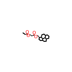 C=CC(=O)OCCC(=O)OCc1ccc2ccc3cccc4ccc1c2c34